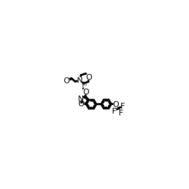 O=CCN1CCOC[C@@H]1COc1noc2ccc(-c3ccc(OC(F)(F)F)cc3)cc12